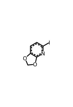 Ic1ccc2c(n1)OCO2